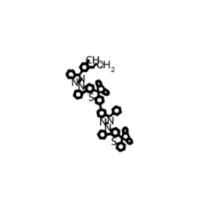 C=C/C=c1/cc(-c2nc(-n3c4ccccc4c4c5c(ccc43)C3(c4ccc(-c6ccc7nc(-n8c9ccccc9c9c%10c(ccc98)C8(c9ccccc9S%10)c9ccccc9-c9ccccc98)nc(-c8ccccc8)c7c6)cc4S5)c4ccccc4-c4ccccc43)nc3ccccc23)ccc1=C